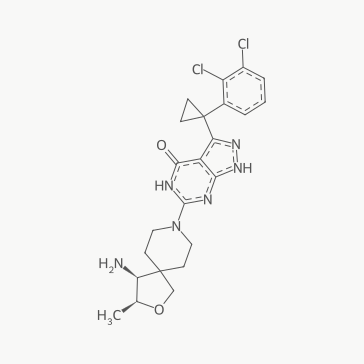 C[C@@H]1OCC2(CCN(c3nc4[nH]nc(C5(c6cccc(Cl)c6Cl)CC5)c4c(=O)[nH]3)CC2)[C@@H]1N